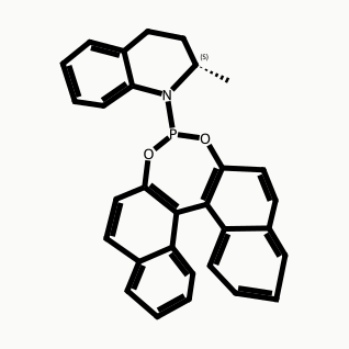 C[C@H]1CCc2ccccc2N1p1oc2ccc3ccccc3c2c2c(ccc3ccccc32)o1